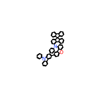 c1ccc(N(c2cccc3c2-c2ccccc2C32c3ccccc3-c3ccccc32)c2cccc3oc4ccc(-c5ccc6c(c5)c5ccccc5n6-c5ccccc5)cc4c23)cc1